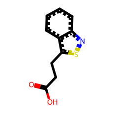 O=C(O)CCc1snc2ccccc12